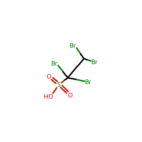 O=S(=O)(O)C(Br)(Br)C(Br)Br